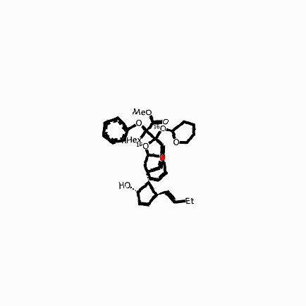 CC/C=C/[C@H]1CC[C@H](O)[C@@H]1CC=C=CC([16O]C1CCCCO1)([16O]C1CCCCO1)C(CCCCCC)(Oc1ccccc1)C(=O)OC